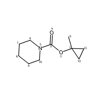 CC1(OC(=O)N2CCCCC2)CC1